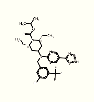 CC[C@@H]1CC(N(Cc2cc(Cl)cc(C(F)(F)F)c2)c2ncc(-c3nn[nH]n3)cn2)C[C@H](CC)N1C(=O)OC(C)C